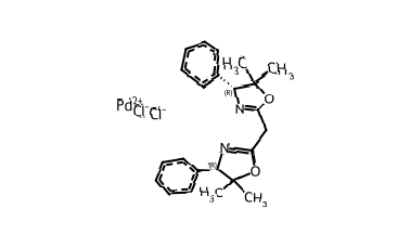 CC1(C)OC(CC2=N[C@H](c3ccccc3)C(C)(C)O2)=N[C@@H]1c1ccccc1.[Cl-].[Cl-].[Pd+2]